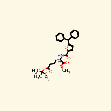 COC(=O)[C@H](CCCC(=O)OC(C)(C)C)NC(=O)c1ccc(C(c2ccccc2)c2ccccc2)o1